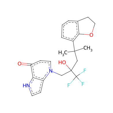 CC(C)(CC(O)(Cn1ccc(=O)c2[nH]ccc21)C(F)(F)F)c1cccc2c1OCC2